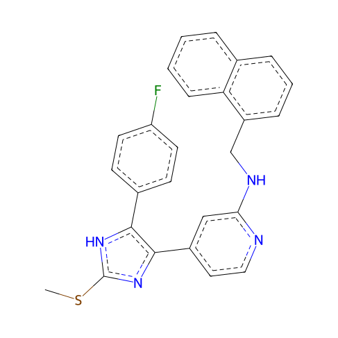 CSc1nc(-c2ccnc(NCc3cccc4ccccc34)c2)c(-c2ccc(F)cc2)[nH]1